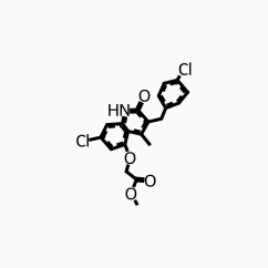 COC(=O)COc1cc(Cl)cc2[nH]c(=O)c(Cc3ccc(Cl)cc3)c(C)c12